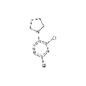 Clc1ccc(N2C[CH]CC2)c(Cl)c1